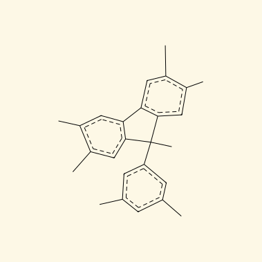 Cc1cc(C)cc(C2(C)c3cc(C)c(C)cc3-c3cc(C)c(C)cc32)c1